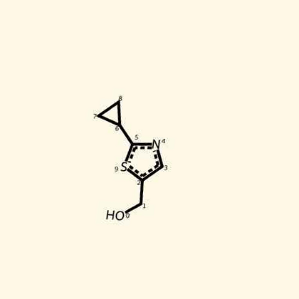 OCc1cnc(C2CC2)s1